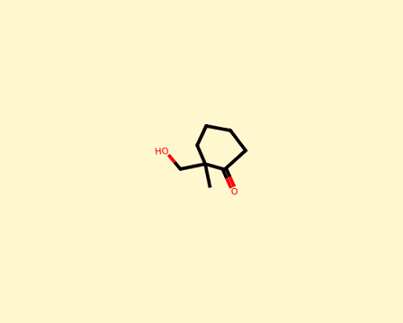 CC1(CO)CCCCC1=O